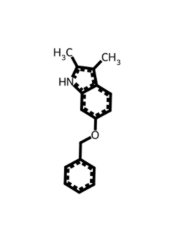 Cc1[nH]c2cc(OCc3ccccc3)ccc2c1C